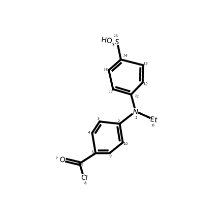 CCN(c1ccc(C(=O)Cl)cc1)c1ccc(S(=O)(=O)O)cc1